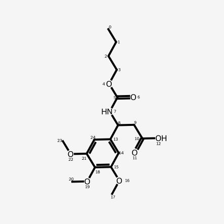 CCCCOC(=O)NC(CC(=O)O)c1cc(OC)c(OC)c(OC)c1